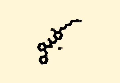 CCCCCCCCCCCCCCOc1ccc(CC(=O)Nc2ccccc2C[n+]2ccccc2)cc1C(C)=O.[Br-]